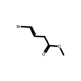 COC(=O)C/C=C/Br